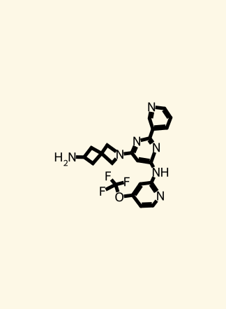 NC1CC2(C1)CN(c1cc(Nc3cc(OC(F)(F)F)ccn3)nc(-c3cccnc3)n1)C2